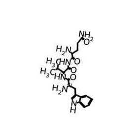 CC(C)[C@H](NC(=O)[C@@H](N)Cc1c[nH]c2ccccc12)C(=O)NC(=O)C(N)CCC(N)=O